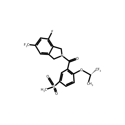 C[C@H](Oc1ccc(S(C)(=O)=O)cc1C(=O)N1Cc2cc(C(F)(F)F)cc(F)c2C1)C(F)(F)F